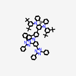 CC(C)(C)c1cc(N2c3ccccc3B3c4ccccc4N(c4cc(C(C)(C)C)cc(C(C)(C)C)c4)c4cc(-c5ccc6c(c5)c5ccccc5n6-c5ccc(-c6nc(-c7ccccc7)nc(-c7ccccc7)n6)cc5-c5nc(-c6ccccc6)nc(-c6ccccc6)n5)cc2c43)cc(C(C)(C)C)c1